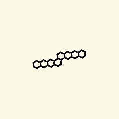 c1ccc2cc3cc4c(ccc5c6cc7cc8ccccc8cc7cc6ccc45)cc3cc2c1